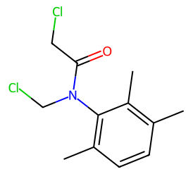 Cc1ccc(C)c(N(CCl)C(=O)CCl)c1C